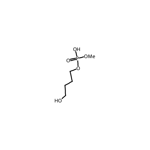 COP(=O)(O)OCCCCO